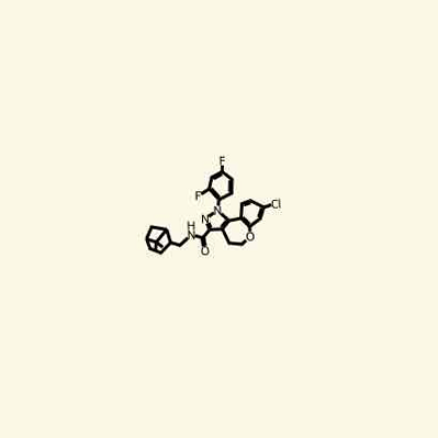 CC1(C)C2CCC(CNC(=O)c3nn(-c4ccc(F)cc4F)c4c3CCOc3cc(Cl)ccc3-4)C1C2